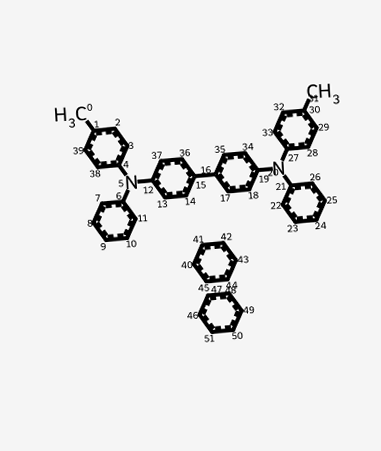 Cc1ccc(N(c2ccccc2)c2ccc(-c3ccc(N(c4ccccc4)c4ccc(C)cc4)cc3)cc2)cc1.c1ccccc1.c1ccccc1